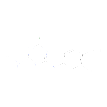 Cc1cc(Nc2nc(Cl)nc(NC#N)n2)ccc1S(=O)(=O)O